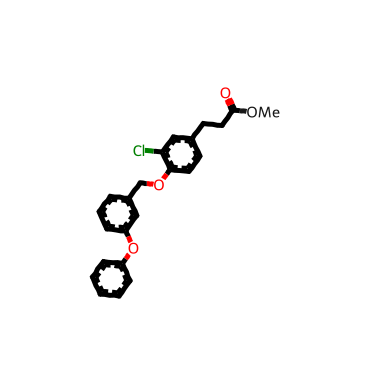 COC(=O)CCc1ccc(OCc2cccc(Oc3ccccc3)c2)c(Cl)c1